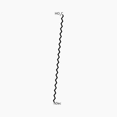 CCCCCCCCCCCCCCCCCCCCCCCCCCCCCCCCCCCCCCCCCCCCC(=O)O